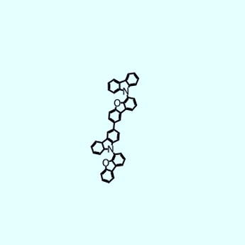 C1=CC2c3cc(-c4ccc5oc6c(-n7c8ccccc8c8ccccc87)cccc6c5c4)ccc3N(c3cccc4c3oc3ccccc34)C2C=C1